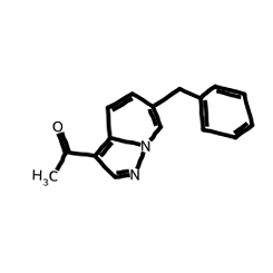 CC(=O)c1cnn2cc(Cc3ccccc3)ccc12